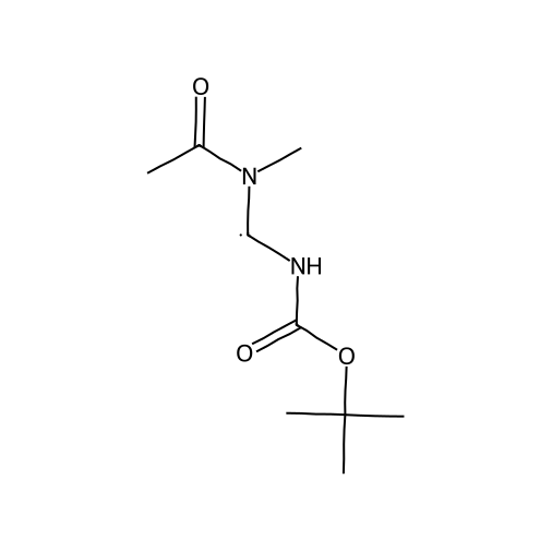 CC(=O)N(C)[CH]NC(=O)OC(C)(C)C